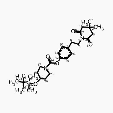 CC1(C)CC(=O)N(CCc2ccc(OC(=O)N3CCC(O[Si](C)(C)C(C)(C)C)CC3)cc2)C(=O)C1